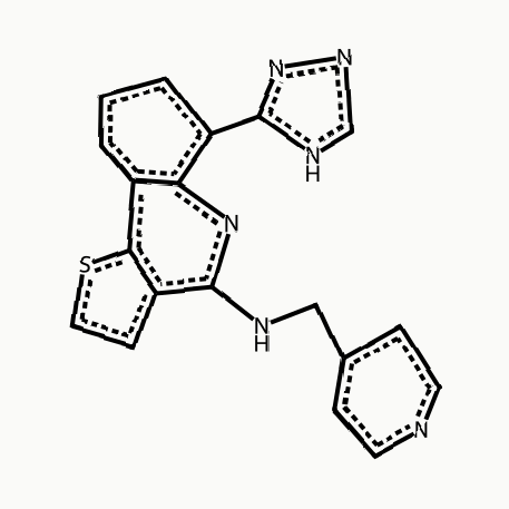 c1cc(-c2nnc[nH]2)c2nc(NCc3ccncc3)c3ccsc3c2c1